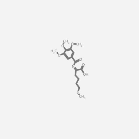 COc1cc(C(=O)/N=C(/CCCCSC)C(=O)O)cc(OC)c1OC